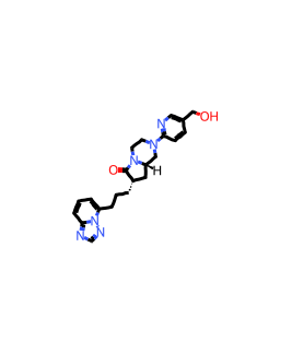 O=C1[C@@H](CCCc2cccc3ncnn23)C[C@H]2CN(c3ccc(CO)cn3)CCN12